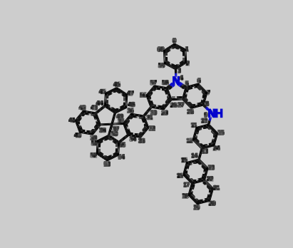 c1ccc(-n2c3ccc(Nc4ccc(-c5ccc6ccccc6c5)cc4)cc3c3cc(-c4ccc5c(c4)C4(c6ccccc6-c6ccccc64)c4ccccc4-5)ccc32)cc1